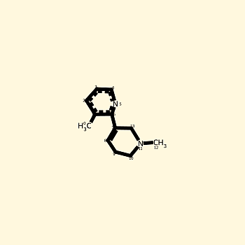 Cc1cccnc1C1=CCCN(C)C1